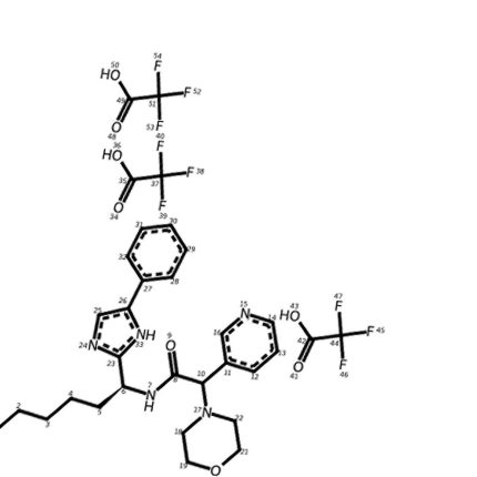 CC(=O)CCCCC[C@H](NC(=O)C(c1cccnc1)N1CCOCC1)c1ncc(-c2ccccc2)[nH]1.O=C(O)C(F)(F)F.O=C(O)C(F)(F)F.O=C(O)C(F)(F)F